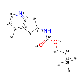 Cc1ccnc2c1CC(NC(=O)OCC[Si](C)(C)C)C2